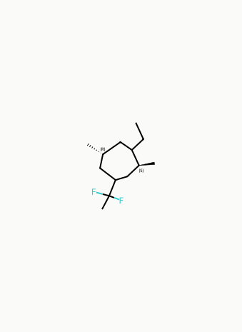 CCC1C[C@@H](C)CC(C(C)(F)F)C[C@@H]1C